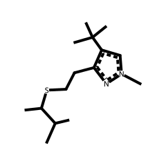 CC(C)C(C)SCCc1nn(C)cc1C(C)(C)C